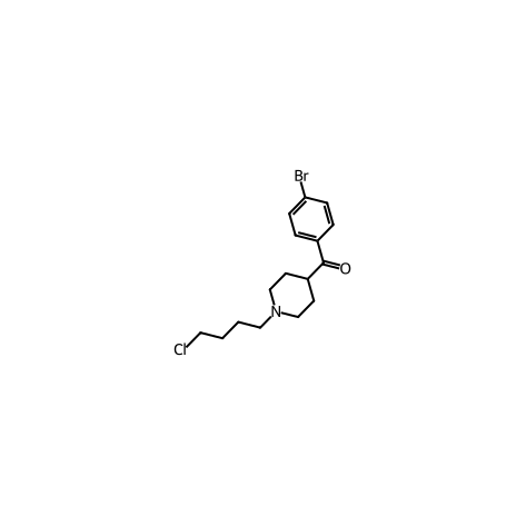 O=C(c1ccc(Br)cc1)C1CCN(CCCCCl)CC1